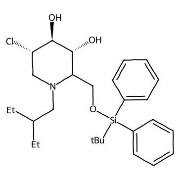 CCC(CC)CN1C[C@H](Cl)[C@@H](O)[C@H](O)C1CO[Si](c1ccccc1)(c1ccccc1)C(C)(C)C